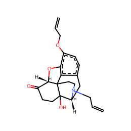 C=CCOc1ccc2c3c1O[C@H]1C(=O)CCC4(O)[C@@H](C2)N(CC=C)CCC314